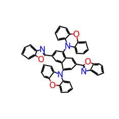 c1ccc2c(c1)Oc1ccccc1N2c1cc(-c2nc3ccccc3o2)cc2c(N3c4ccccc4Oc4ccccc43)cc(-c3nc4ccccc4o3)cc12